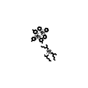 CCCCC(CC)COP(=O)(OCC(CC)CCCC)OCC(CC)CCCC.Cc1ccc(OP(=O)(Oc2ccc(C)cc2)Oc2ccc(C)cc2)cc1.O=P(Oc1ccccc1)(Oc1ccccc1)Oc1ccccc1